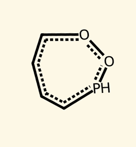 c1cc[pH]ooc1